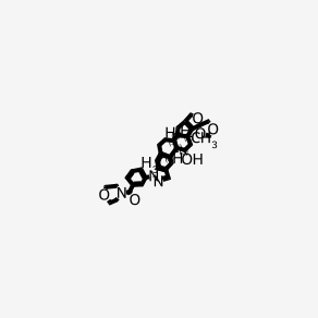 C[C@]12Cc3cnn(-c4cccc(C(=O)N5CCOCC5)c4)c3C=C1CC[C@@H]1[C@@H]2[C@@H](O)C[C@]2(C)C3=C(COC34COCO4)C[C@@H]12